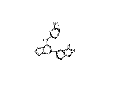 Nc1cccc(Nc2cc(-c3ccc4cn[nH]c4c3)cn3ccnc23)n1